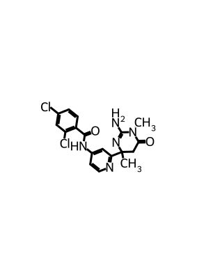 CN1C(=O)CC(C)(c2cc(NC(=O)c3ccc(Cl)cc3Cl)ccn2)N=C1N